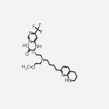 COCCN(CCCCc1ccc2c(n1)NCCC2)CC[C@H](Nc1cc(C(F)(F)F)ncn1)C(=O)O